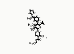 COCCC(=O)N1CCN(c2nc(C3CC3)c(-c3cccc(C(O)N4CCCC4)c3)c(C)c2C#N)C[C@H]1C